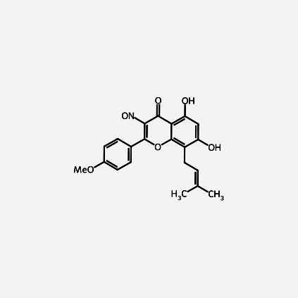 COc1ccc(-c2oc3c(CC=C(C)C)c(O)cc(O)c3c(=O)c2N=O)cc1